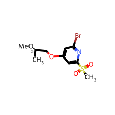 CO[C@@H](C)COc1cc(Br)nc(S(C)(=O)=O)c1